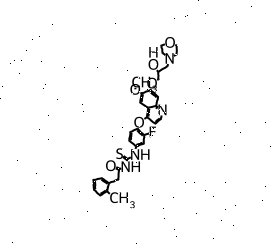 COc1cc2c(Oc3ccc(NC(=S)NC(=O)Cc4ccccc4C)cc3F)ccnc2cc1OCC(O)CN1CCOCC1